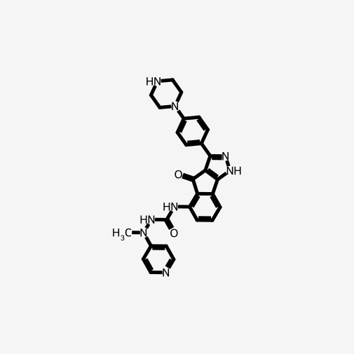 CN(NC(=O)Nc1cccc2c1C(=O)c1c(-c3ccc(N4CCNCC4)cc3)n[nH]c1-2)c1ccncc1